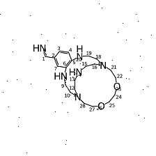 N=Cc1ccc2c(c1)NCCN1CCNCCN(CCN2)CCOCCOCC1